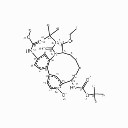 CCOC(=O)[C@H]1CCCC[C@H](NC(=O)OC(C)(C)C)c2cc(cc[n+]2[O-])-c2ccc(NC(=O)OC)cc2N1C(=O)OC(C)(C)C